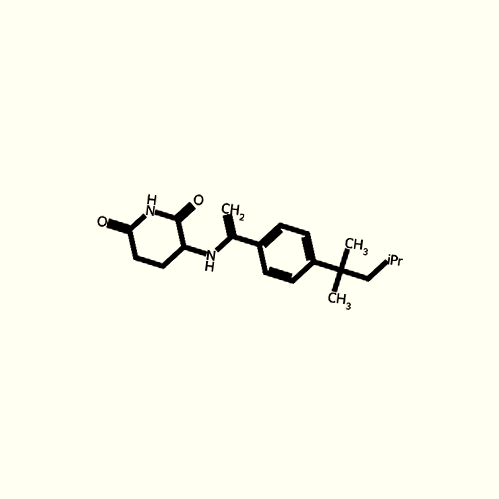 C=C(NC1CCC(=O)NC1=O)c1ccc(C(C)(C)CC(C)C)cc1